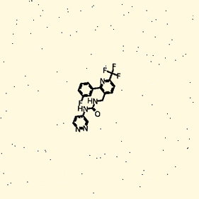 O=C(NCc1ccc(C(F)(F)F)nc1-c1cccc(F)c1)Nc1ccnnc1